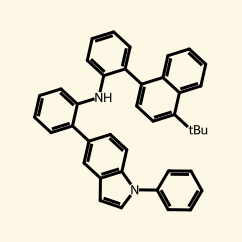 CC(C)(C)c1ccc(-c2ccccc2Nc2ccccc2-c2ccc3c(ccn3-c3ccccc3)c2)c2ccccc12